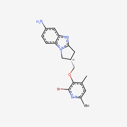 Cc1cc(C(C)(C)C)nc(Br)c1OC[C@H]1Cc2nc3cc(N)ccc3n2C1